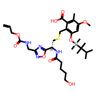 C=CCOC(=O)NCc1noc([C@H](CSCc2c(O[Si](C)(C)C(C)(C)C(C)C)cc(OC)c(C)c2C(=O)O)NC(=O)CCCCO)n1